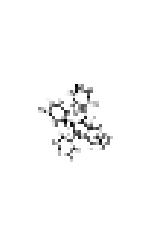 Cl.O=C1N(c2ccccc2)c2ccccc2C1(Cc1ccncc1)Cc1ccc(F)cc1